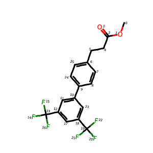 COC(=O)CCc1ccc(-c2cc(C(F)(F)F)cc(C(F)(F)F)c2)cc1